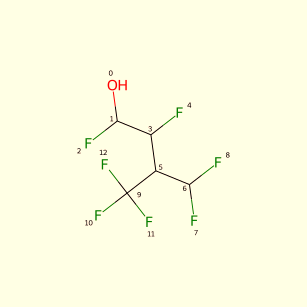 OC(F)C(F)C(C(F)F)C(F)(F)F